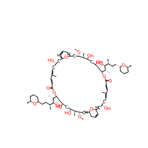 CO[C@H]1C[C@@H]2CC=C[C@@H](C[C@@H](O)C/C=C(C)/C=C/C(=O)O[C@H]([C@@H](C)[C@@H](O)[C@@H](C)CC[C@H]3CCC[C@H](C)O3)[C@@H](C)[C@H](O)C[C@H](O)[C@H](C)[C@@H](OC)C[C@@H]3CC=C[C@@H](C[C@@H](O)C/C=C(C)/C=C/C(=O)O[C@H]([C@@H](C)[C@@H](O)[C@@H](C)CCC4CCC[C@H](C)O4)[C@@H](C)[C@H](O)C[C@H](O)[C@@H]1C)O3)O2